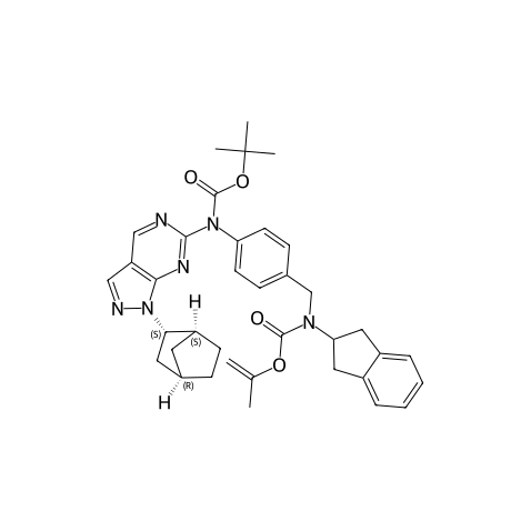 C=C(C)OC(=O)N(Cc1ccc(N(C(=O)OC(C)(C)C)c2ncc3cnn([C@H]4C[C@@H]5CC[C@H]4C5)c3n2)cc1)C1Cc2ccccc2C1